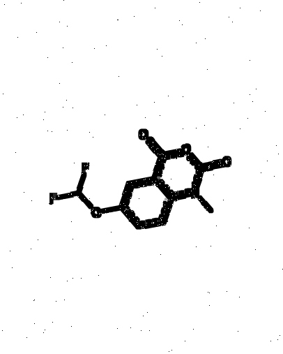 Cn1c(=O)oc(=O)c2cc(OC(F)F)ccc21